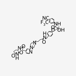 CN(C(=O)Cc1ccnc(N2CCN(CCCC(=O)NCc3ccc(OCC(C)(O)C(=O)Nc4ccc(C#N)c(C(F)(F)F)c4)cc3)CC2)c1)C1CCC(=O)NC1=O